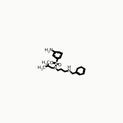 CC(C)CN(CCCNCC1=CC=CCC1)S(=O)(=O)c1cccc(N)c1